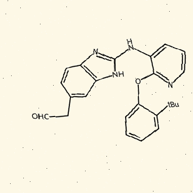 CC(C)(C)c1ccccc1Oc1ncccc1Nc1nc2ccc(CC=O)cc2[nH]1